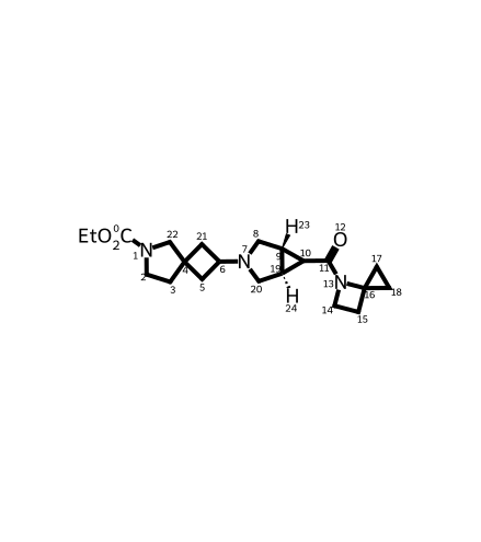 CCOC(=O)N1CCC2(CC(N3C[C@@H]4C(C(=O)N5CCC56CC6)[C@H]4C3)C2)C1